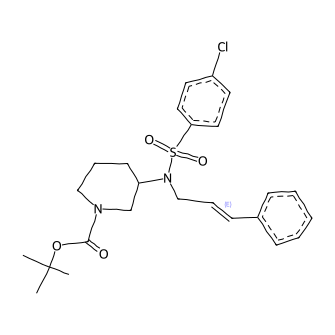 CC(C)(C)OC(=O)N1CCCC(N(C/C=C/c2ccccc2)S(=O)(=O)c2ccc(Cl)cc2)C1